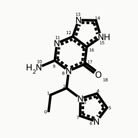 CCC(n1ccnc1)n1c(N)nc2nc[nH]c2c1=O